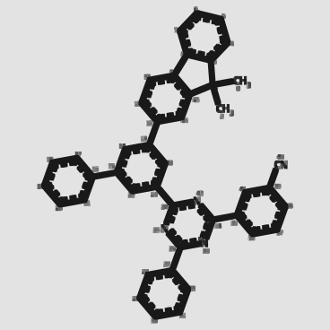 CC1(C)c2ccccc2-c2ccc(-c3cc(-c4ccccc4)cc(-c4nc(-c5ccccc5)nc(-c5cccc(C#N)c5)n4)c3)cc21